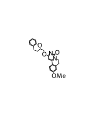 COc1ccc2c(c1)CCn1c-2cc(OCC2CCc3ccccc3O2)nc1=O